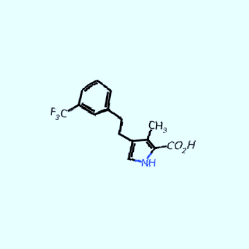 Cc1c(CCc2cccc(C(F)(F)F)c2)c[nH]c1C(=O)O